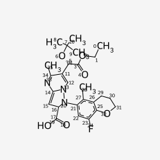 CCOC(=O)[C@@H](OC(C)(C)C)C1=CN2C(=CC(C(=O)O)N2c2cc(F)c3c(c2C)CCCO3)N=C1C